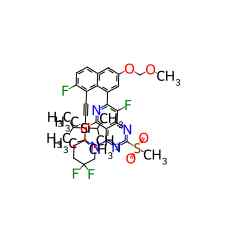 COCOc1cc(-c2nc(OC)c3c(N4CCCC(F)(F)C4)nc(S(C)(=O)=O)nc3c2F)c2c(C#C[Si](C(C)C)(C(C)C)C(C)C)c(F)ccc2c1